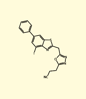 N#CCCc1nnc(Cc2nc3c(I)cc(-c4ccccc4)cc3s2)o1